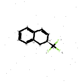 FC(F)(F)[C@@H]1C=Cc2ccccc2C1